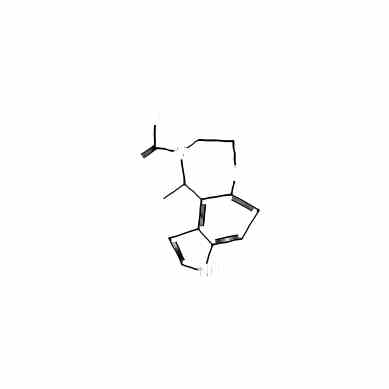 CC1c2c(ccc3[nH]ccc23)OCCN1C(=O)O